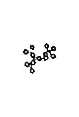 C1=CC2c3cc(N(c4ccc(-c5cccc6c5ccc5c(-c7ccccc7)c(-c7ccccc7)n(-c7ccccc7)c56)cc4)c4ccc(N(c5ccccc5)c5ccccc5)cc4)ccc3N(c3ccccc3)C2C=C1